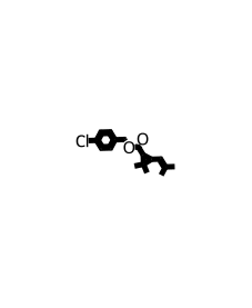 CC(C)=CC1C(C(=O)OCc2ccc(Cl)cc2)C1(C)C